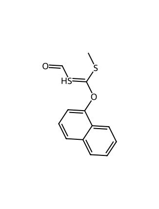 CSC(Oc1cccc2ccccc12)=[SH]C=O